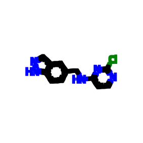 Clc1nccc(NCc2ccc3[nH]ncc3c2)n1